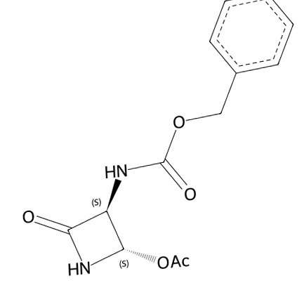 CC(=O)O[C@@H]1NC(=O)[C@H]1NC(=O)OCc1ccccc1